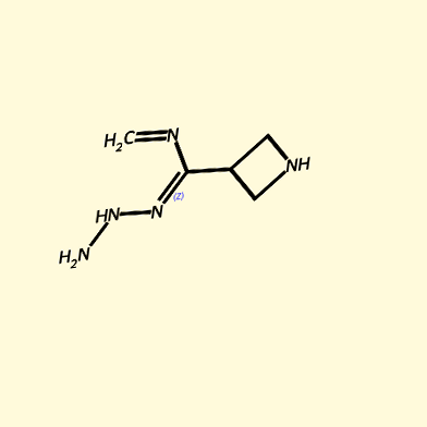 C=N/C(=N\NN)C1CNC1